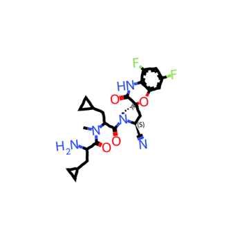 CN(C(=O)C(N)CC1CC1)C(CC1CC1)C(=O)N1C[C@@]2(C[C@H]1C#N)Oc1cc(F)cc(F)c1NC2=O